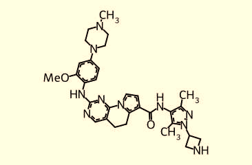 COc1cc(N2CCN(C)CC2)ccc1Nc1ncc2c(n1)-n1ccc(C(=O)Nc3c(C)nn(C4CNC4)c3C)c1CC2